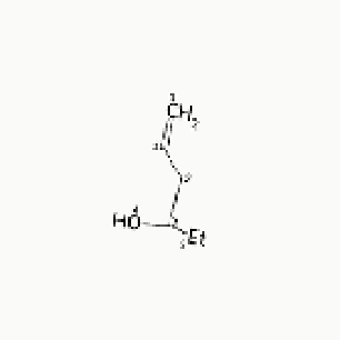 C=[C]CC(O)CC